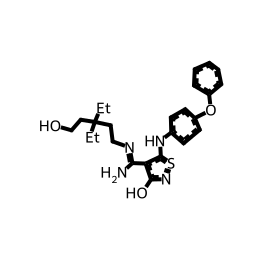 CCC(CC)(CCO)CCN=C(N)c1c(O)nsc1Nc1ccc(Oc2ccccc2)cc1